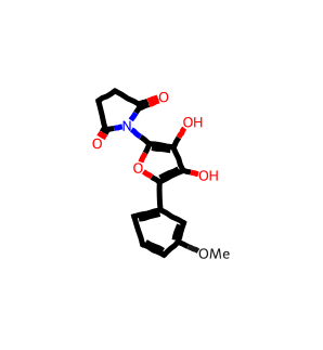 COc1cccc(-c2oc(N3C(=O)CCC3=O)c(O)c2O)c1